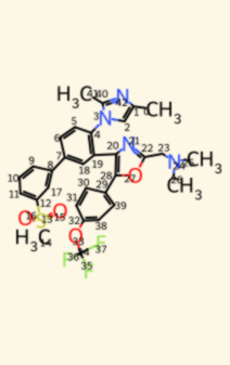 Cc1cn(-c2ccc(-c3cccc(S(C)(=O)=O)c3)cc2-c2nc(CN(C)C)oc2-c2ccc(OC(F)(F)F)cc2)c(C)n1